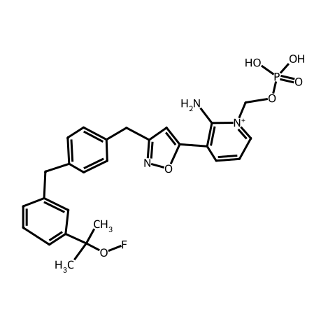 CC(C)(OF)c1cccc(Cc2ccc(Cc3cc(-c4ccc[n+](COP(=O)(O)O)c4N)on3)cc2)c1